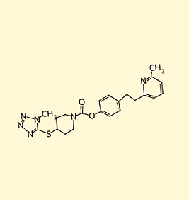 Cc1cccc(CCc2ccc(OC(=O)N3CCC(Sc4nnnn4C)CC3)cc2)n1